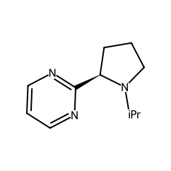 CC(C)N1CCC[C@@H]1c1ncccn1